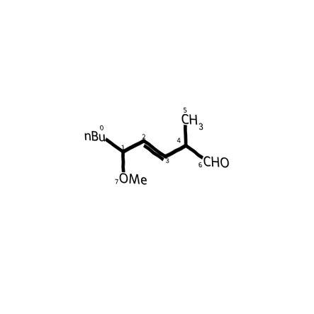 CCCCC(C=CC(C)C=O)OC